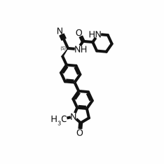 CN1C(=O)Cc2ccc(-c3ccc(C[C@@H](C#N)NC(=O)C4CCCCN4)cc3)cc21